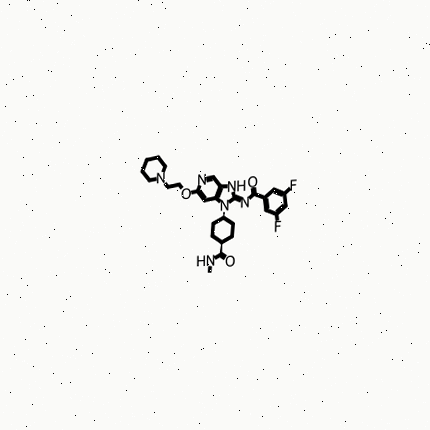 CNC(=O)[C@H]1CC[C@H](n2/c(=N/C(=O)c3cc(F)cc(F)c3)[nH]c3cnc(OCCN4CCCCC4)cc32)CC1